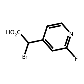 O=C(O)C(Br)c1ccnc(F)c1